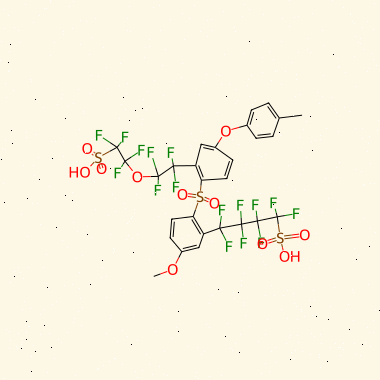 COc1ccc(S(=O)(=O)c2ccc(Oc3ccc(C)cc3)cc2C(F)(F)C(F)(F)OC(F)(F)C(F)(F)S(=O)(=O)O)c(C(F)(F)C(F)(F)C(F)(F)C(F)(F)S(=O)(=O)O)c1